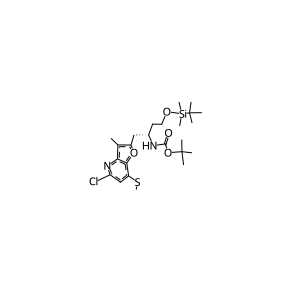 CSc1cc(Cl)nc2c(C)c(C[C@H](CCO[Si](C)(C)C(C)(C)C)NC(=O)OC(C)(C)C)oc12